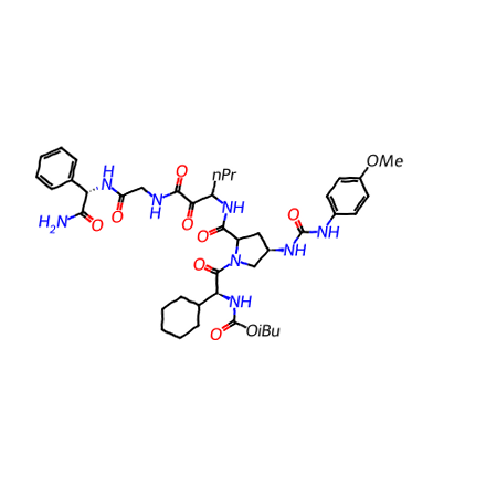 CCCC(NC(=O)C1C[C@@H](NC(=O)Nc2ccc(OC)cc2)CN1C(=O)[C@@H](NC(=O)OCC(C)C)C1CCCCC1)C(=O)C(=O)NCC(=O)N[C@H](C(N)=O)c1ccccc1